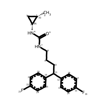 C[C@H]1C[C@H]1NC(=O)NCCCC(c1ccc(F)cc1)c1ccc(F)cc1